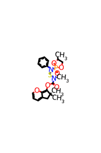 CC1COP(=O)(N(SN(C)C(=O)OC2=C3OC=CC=C3CC2(C)C)c2ccccc2)O1